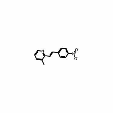 Cc1cccnc1C=Cc1ccc([N+](=O)[O-])cc1